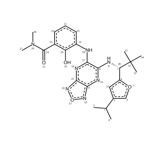 CC(C)c1coc([C@H](Nc2nc3nonc3nc2Nc2cccc(C(=O)N(C)C)c2O)C(C)(C)C)c1